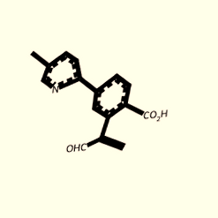 C=C(C=O)c1cc(-c2ccc(C)cn2)ccc1C(=O)O